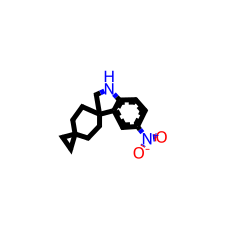 O=[N+]([O-])c1ccc2c(c1)C1(CCC3(CC3)CC1)CN2